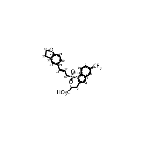 O=C(O)CCc1cc2cc(C(F)(F)F)ccc2n1S(=O)(=O)CC=Cc1ccc2c(c1)CCO2